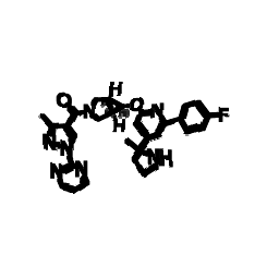 Cc1nn(-c2ncccn2)cc1C(=O)N1C[C@@H]2[C@H](C1)[C@H]2Oc1cc(C2(C)CCCN2)cc(-c2ccc(F)cc2)n1